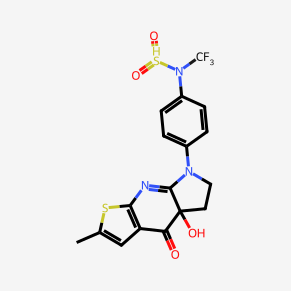 Cc1cc2c(s1)N=C1N(c3ccc(N([SH](=O)=O)C(F)(F)F)cc3)CCC1(O)C2=O